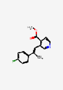 COC(=O)c1ccncc1/C=C(\C)c1ccc(F)cc1